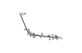 CC1CC(=O)N(CCC(=O)NCCNC(=O)COCCOCCNC(=O)COCCOCCNC(=O)CC[C@H](NC(=O)[C@H]2CC[C@H](CNC(=O)CCCCCCCCCCCCCCCCCCC(=O)O)CC2)C(=O)O)C1=O